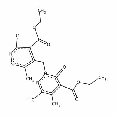 CCOC(=O)c1c(Cl)nnc(C)c1Cn1nc(C)c(C)c(C(=O)OCC)c1=O